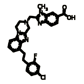 Cn1c(CN2CCn3c(nc4c(CCc5ccc(Cl)cc5F)cccc43)C2)nc2ccc(C(=O)O)cc21